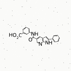 O=C(O)c1cccc(NC(=O)c2cnc3[nH]c(-c4ccccc4)cc3c2)c1